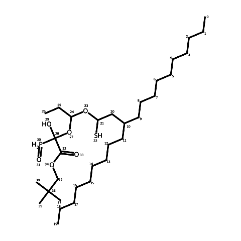 CCCCCCCCCCC(CCCCCCCCC)CC(S)OC(CC)OC(O)([PH2]=O)C(=O)OCC(C)(C)C